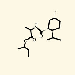 CCC(C)OC(=O)C(C)NC(=O)[C@@H]1C[C@H](C)CC[C@H]1C(C)C